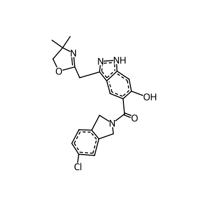 CC1(C)COC(Cc2n[nH]c3cc(O)c(C(=O)N4Cc5ccc(Cl)cc5C4)cc23)=N1